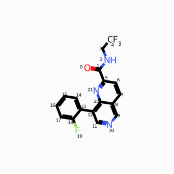 O=C(NCC(F)(F)F)c1ccc2cncc(-c3ccccc3F)c2n1